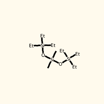 CC[Si](CC)(CC)O[Si](C)(C)O[Si](CC)(CC)CC